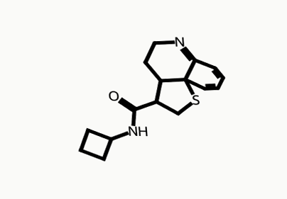 O=C(NC1CCC1)C1CSC23C=CC=CC2=NCCC13